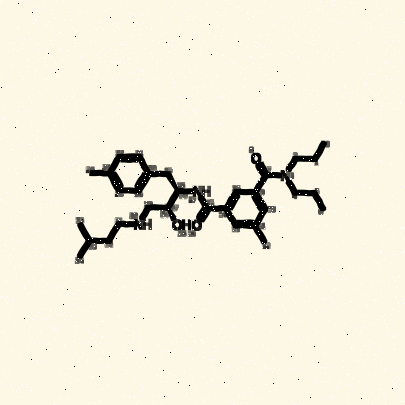 CCCN(CCC)C(=O)c1cc(C)cc(C(=O)N[C@H](Cc2ccc(C)cc2)[C@@H](O)CNCCC(C)C)c1